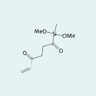 C=CC(=O)CCC(=O)[Si](C)(OC)OC